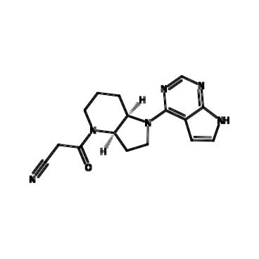 N#CCC(=O)N1CCC[C@@H]2[C@H]1CCN2c1ncnc2[nH]ccc12